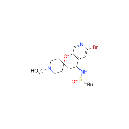 CC(C)(C)[S@+]([O-])N[C@H]1CC2(CCN(C(=O)O)CC2)Oc2cnc(Br)cc21